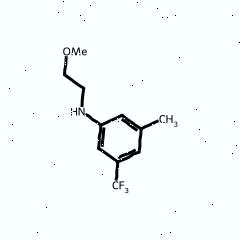 COCCNc1cc(C)cc(C(F)(F)F)c1